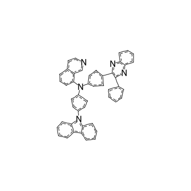 c1ccc(-c2nc3ccccc3nc2-c2ccc(N(c3ccc(-n4c5ccccc5c5ccccc54)cc3)c3cccc4ccncc34)cc2)cc1